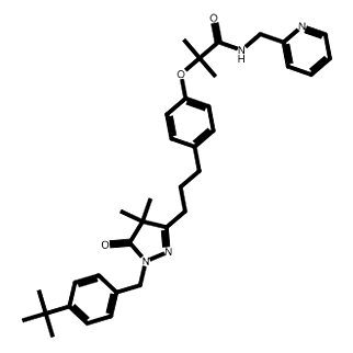 CC(C)(Oc1ccc(CCCC2=NN(Cc3ccc(C(C)(C)C)cc3)C(=O)C2(C)C)cc1)C(=O)NCc1ccccn1